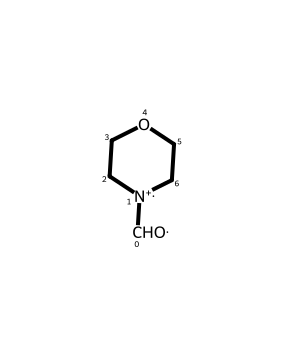 O=[C][N+]1CCOCC1